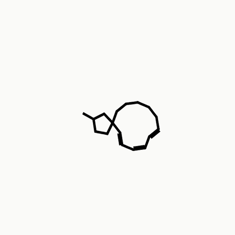 CC1CCC2(/C=C/C=C\C=C\CCCCC2)C1